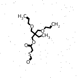 C=CCOCC(CC)(COCC=C)COC(=O)CSC=O